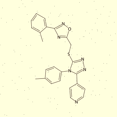 Cc1ccc(-n2c(SCc3nc(-c4ccccc4C)no3)nnc2-c2ccncc2)cc1